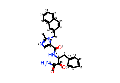 Cc1ncc(C(=O)NC(Cc2ccccc2)C(=O)C(N)=O)n1Cc1ccc2ccccc2c1